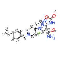 COC(=O)Nc1nn(C2(CC#N)CCN(Cc3ccc(C4CC4)cc3)CC2F)cc1C(N)=O